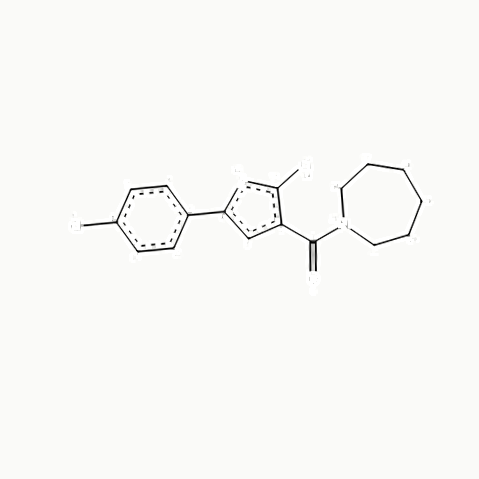 O=C(c1cc(-c2ccc(Cl)cc2)sc1Cl)N1CCCCCC1